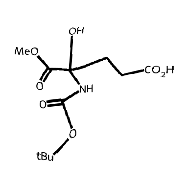 COC(=O)C(O)(CCC(=O)O)NC(=O)OC(C)(C)C